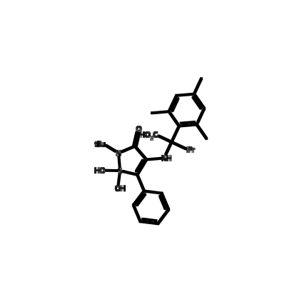 Cc1cc(C)c(C(NC2=C(c3ccccc3)S(O)(O)N(C(C)(C)C)C2=O)(C(=O)O)C(C)C)c(C)c1